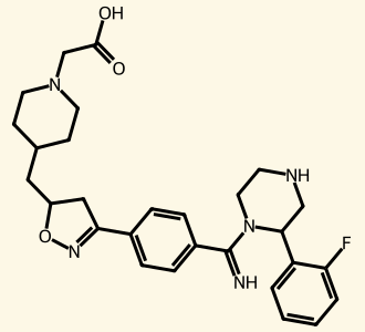 N=C(c1ccc(C2=NOC(CC3CCN(CC(=O)O)CC3)C2)cc1)N1CCNCC1c1ccccc1F